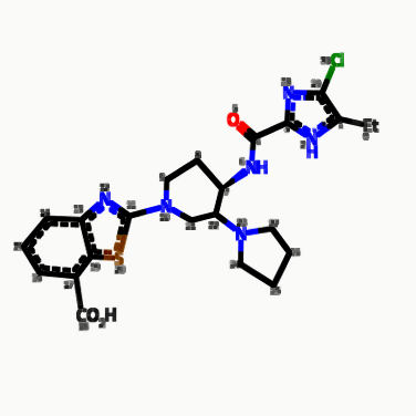 CCc1[nH]c(C(=O)N[C@@H]2CCN(c3nc4cccc(C(=O)O)c4s3)CC2N2CCCC2)nc1Cl